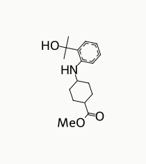 COC(=O)C1CCC(Nc2ccccc2C(C)(C)O)CC1